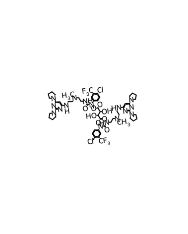 CN(CCNC(=O)N(OC(=O)C(O)C(O)C(=O)ON(C(=O)NCCN(C)CCNc1cc(N2CCCC2)nc(N2CCCC2)n1)c1ccc(Cl)c(C(F)(F)F)c1)c1ccc(Cl)c(C(F)(F)F)c1)CCNc1cc(N2CCCC2)nc(N2CCCC2)n1